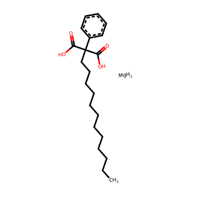 CCCCCCCCCCCCC(C(=O)O)(C(=O)O)c1ccccc1.[MgH2]